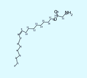 CCCCCCCC/C=C\CCCCCCCCOC(=O)CN